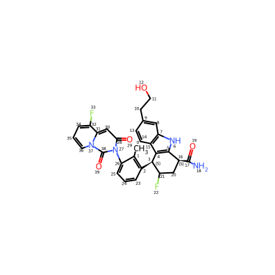 Cc1c([C@H]2c3c([nH]c4cc(CCO)ccc34)[C@@H](C(N)=O)CC2F)cccc1-n1c(=O)cc2c(F)cccn2c1=O